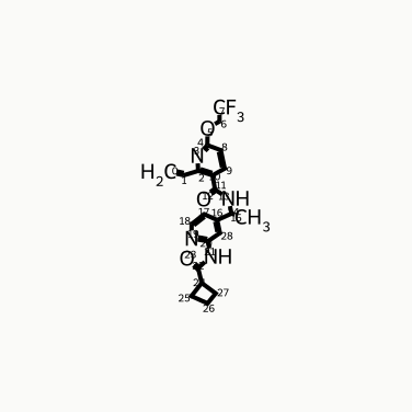 C=Cc1nc(OCC(F)(F)F)ccc1C(=O)NC(C)c1ccnc(NC(=O)C2CCC2)c1